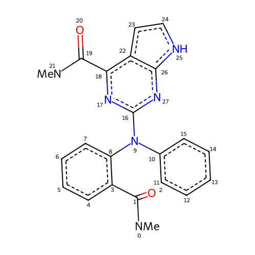 CNC(=O)c1ccccc1N(c1ccccc1)c1nc(C(=O)NC)c2cc[nH]c2n1